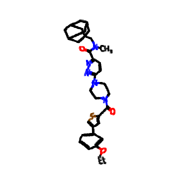 CCOc1cccc(-c2csc(C(=O)N3CCN(c4ccc(C(=O)N(C)CC56CC7CC(CC(C7)C5)C6)nn4)CC3)c2)c1